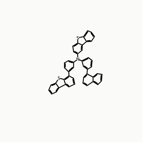 c1cc(-c2cccc3ccccc23)cc(N(c2cccc(-c3cccc4c3sc3ccccc34)c2)c2ccc3sc4ccccc4c3c2)c1